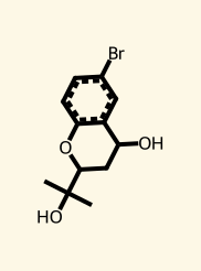 CC(C)(O)C1CC(O)c2cc(Br)ccc2O1